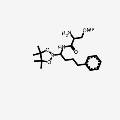 COCC(N)C(=O)NC(CCCc1ccccc1)B1OC(C)(C)C(C)(C)O1